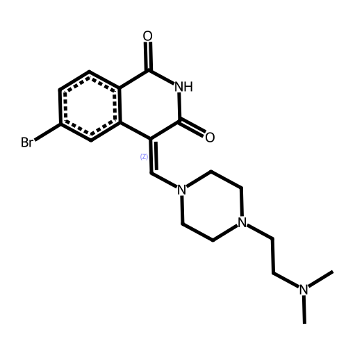 CN(C)CCN1CCN(/C=C2\C(=O)NC(=O)c3ccc(Br)cc32)CC1